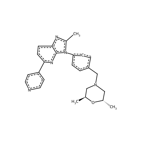 Cc1nc2ccc(-c3ccncc3)nc2n1-c1ccc(CN2C[C@H](C)O[C@@H](C)C2)cc1